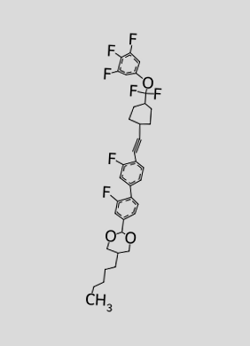 CCCCCC1COC(c2ccc(-c3ccc(C#CC4CCC(C(F)(F)Oc5cc(F)c(F)c(F)c5)CC4)c(F)c3)c(F)c2)OC1